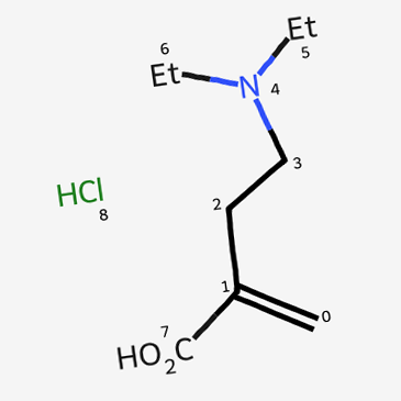 C=C(CCN(CC)CC)C(=O)O.Cl